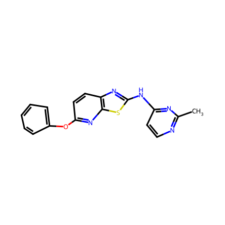 Cc1nccc(Nc2nc3ccc(Oc4ccccc4)nc3s2)n1